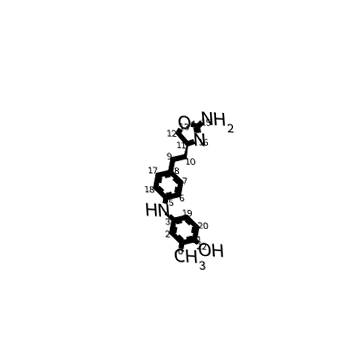 Cc1cc(Nc2ccc(CC[C@H]3COC(N)=N3)cc2)ccc1O